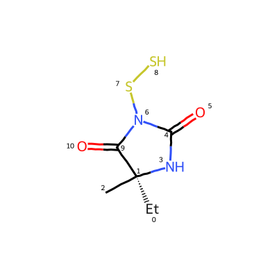 CC[C@@]1(C)NC(=O)N(SS)C1=O